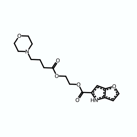 O=C(CCCN1CCOCC1)OCCOC(=O)c1cc2occc2[nH]1